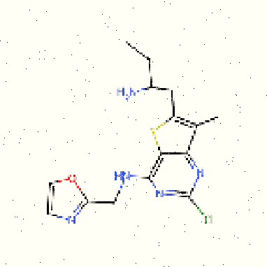 CCC(N)Cc1sc2c(NCc3ncco3)nc(Cl)nc2c1C